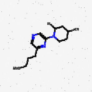 CCC1CC(C#N)CCN1c1cncc(CCCOC)n1